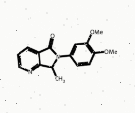 COc1ccc(N2C(=O)c3cccnc3C2C)cc1OC